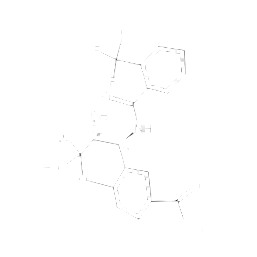 CC(=O)c1ccc2c(c1)[C@H](NC(=O)c1ccccc1C(F)(F)F)[C@@H](O)C(C)(C)O2